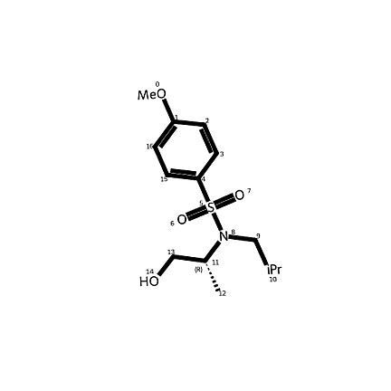 COc1ccc(S(=O)(=O)N(CC(C)C)[C@H](C)CO)cc1